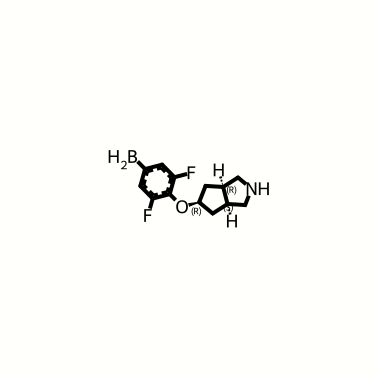 Bc1cc(F)c(O[C@H]2C[C@H]3CNC[C@H]3C2)c(F)c1